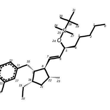 CCCCC[C@@H](/C=C/[C@@H]1[C@@H](Cc2cccc(C)c2)[C@@H](CC)C[C@H]1C)O[Si](C)(C)C(C)(C)C